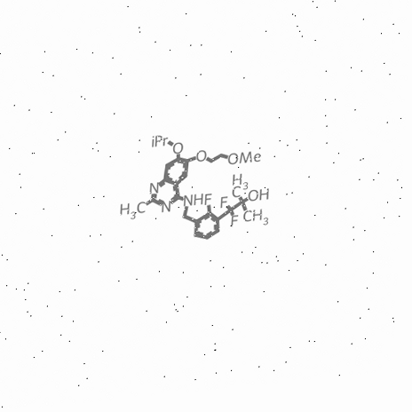 COCCOc1cc2c(NCc3cccc(C(F)(F)C(C)(C)O)c3F)nc(C)nc2cc1OC(C)C